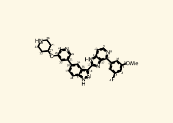 COc1cc(F)cc(-c2nccc3[nH]c(-c4n[nH]c5ccc(-c6cncc(OC7CCNCC7)c6)cc45)nc23)c1